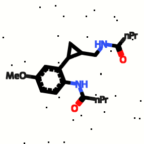 CCCC(=O)NCC1CC1c1cc(OC)ccc1NC(=O)CCC